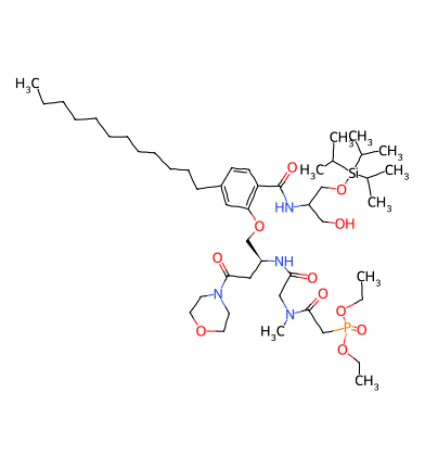 CCCCCCCCCCCCc1ccc(C(=O)NC(CO)CO[Si](C(C)C)(C(C)C)C(C)C)c(OC[C@H](CC(=O)N2CCOCC2)NC(=O)CN(C)C(=O)CP(=O)(OCC)OCC)c1